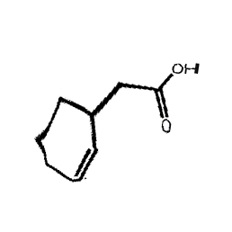 O=C(O)CC1C=[C]CCC1